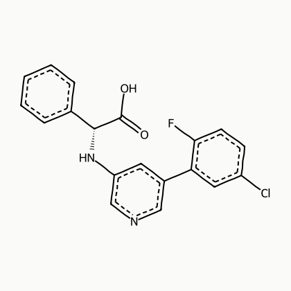 O=C(O)[C@H](Nc1cncc(-c2cc(Cl)ccc2F)c1)c1ccccc1